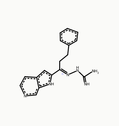 N=C(N)N/N=C(\CCc1ccccc1)c1cc2ccncc2[nH]1